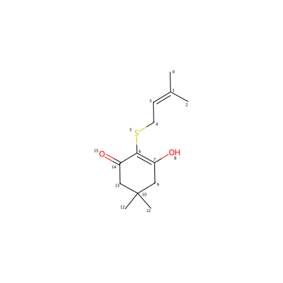 CC(C)=CCSC1=C(O)CC(C)(C)CC1=O